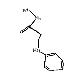 CCNC(=O)CNc1ccccc1